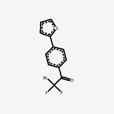 O=C(c1ccc(-c2cccs2)cc1)C(F)(F)Br